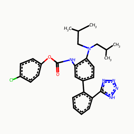 CC(C)CN(CC(C)C)c1ccc(-c2ccccc2-c2nnn[nH]2)cc1NC(=O)Oc1ccc(Cl)cc1